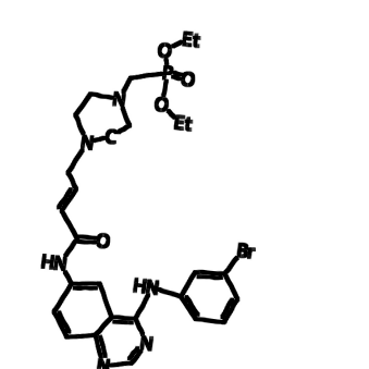 CCOP(=O)(CN1CCN(C/C=C/C(=O)Nc2ccc3ncnc(Nc4cccc(Br)c4)c3c2)CC1)OCC